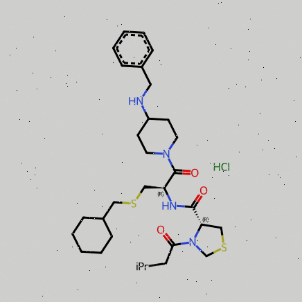 CC(C)CC(=O)N1CSC[C@H]1C(=O)N[C@@H](CSCC1CCCCC1)C(=O)N1CCC(NCc2ccccc2)CC1.Cl